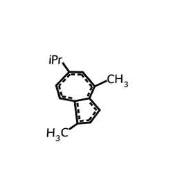 Cc1ccc2c(C)cc(C(C)C)ccc1-2